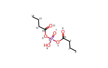 CCCC(=O)OP(=O)(O)OC(=O)CCC